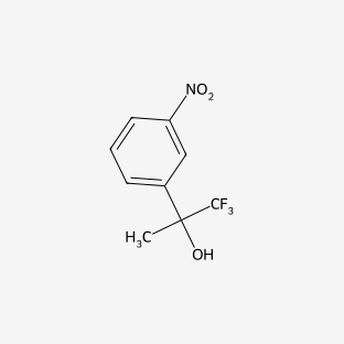 CC(O)(c1cccc([N+](=O)[O-])c1)C(F)(F)F